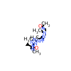 C=CC(=O)N1CCN(Cn2cnc([C@H](C)Nc3nc(C)nc(N4C(=O)N(C)CC4C4CC4)n3)c2)C[C@@H]1C